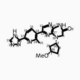 CO[C@@H]1CC[C@@H](N2CC(=O)Nc3ncc(-c4ccc(-c5nnc[nH]5)nc4C)nc32)C1